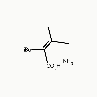 CCC(C)C(C(=O)O)=C(C)C.N